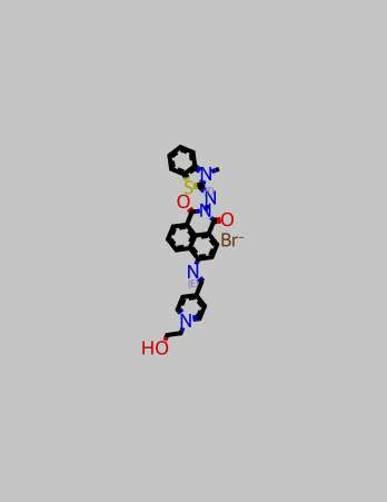 Cn1/c(=N/N2C(=O)c3cccc4c(/N=C/c5cc[n+](CCO)cc5)ccc(c34)C2=O)sc2ccccc21.[Br-]